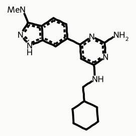 CNc1n[nH]c2cc(-c3cc(NCC4CCCCC4)nc(N)n3)ccc12